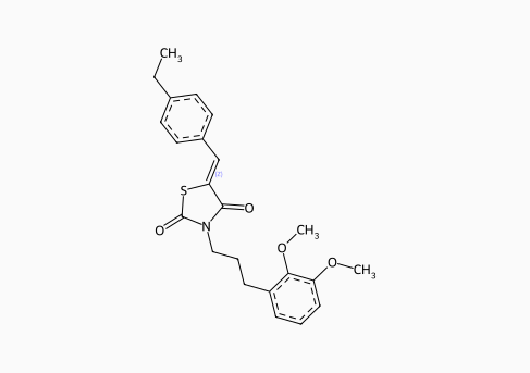 CCc1ccc(/C=C2\SC(=O)N(CCCc3cccc(OC)c3OC)C2=O)cc1